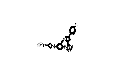 CCCC1CN(c2ccc3c(c2)Cn2cc(-c4ccc(F)cc4)cc2-c2nncn2-3)C1